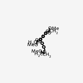 C=C(COC)C(=C)OCCC1CCC(C2CCC(c3cc(-c4ccc(-c5ccc(OC(=O)C(=C)COC)cc5)cc4)ccc3OC(=O)C(=C)COC)CC2)CC1